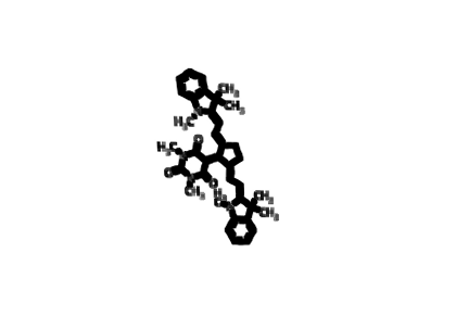 CN1C(=O)C(=C2C(=CC=C3N(C)c4ccccc4C3(C)C)CCC2=CC=C2N(C)c3ccccc3C2(C)C)C(=O)N(C)C1=O